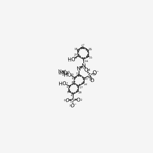 O=S(=O)([O-])c1cc(O)c2c(O)c(N=Nc3ccccc3O)c(S(=O)(=O)[O-])cc2c1.[Na+].[Na+]